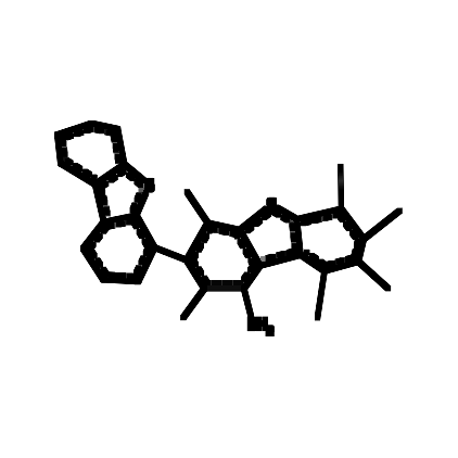 Bc1c(C)c(-c2cccc3c2sc2ccccc23)c(C)c2sc3c(C)c(C)c(C)c(C)c3c12